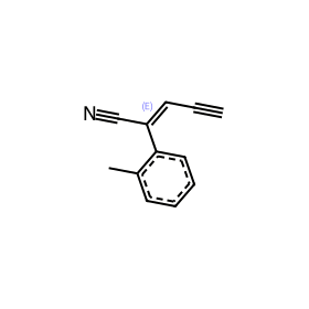 C#C/C=C(/C#N)c1ccccc1C